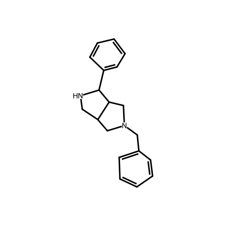 c1ccc(CN2CC3CNC(c4ccccc4)C3C2)cc1